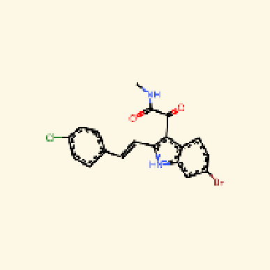 CNC(=O)C(=O)c1c(/C=C/c2ccc(Cl)cc2)[nH]c2cc(Br)ccc12